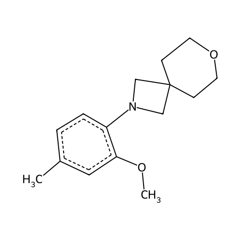 COc1cc(C)ccc1N1CC2(CCOCC2)C1